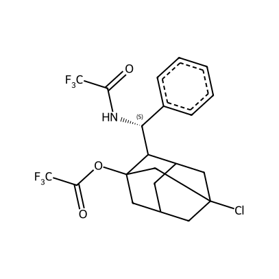 O=C(N[C@H](c1ccccc1)C1C2CC3CC(Cl)(C2)CC1(OC(=O)C(F)(F)F)C3)C(F)(F)F